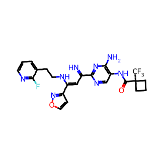 N=C(/C=C(\NCCc1cccnc1F)c1ccon1)c1ncc(NC(=O)C2(C(F)(F)F)CCC2)c(N)n1